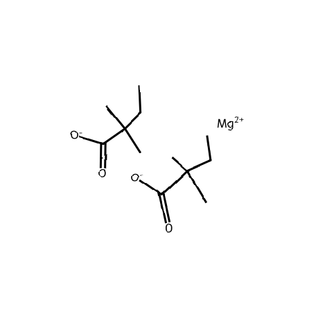 CCC(C)(C)C(=O)[O-].CCC(C)(C)C(=O)[O-].[Mg+2]